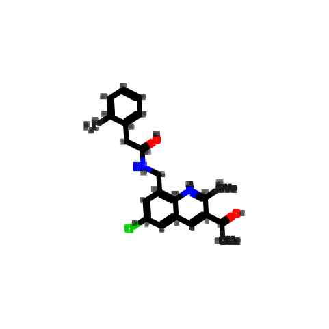 COC(=O)c1cc2cc(Cl)cc(CNC(=O)Cc3ccccc3C(F)(F)F)c2nc1OC